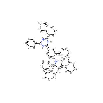 c1ccc(-c2nc(-c3cc(-c4ccccc4)c(-n4c5cc6ccccc6cc5c5c6ccccc6ccc54)c(-c4ccccc4)c3)nc(-c3cccc4ccccc34)n2)cc1